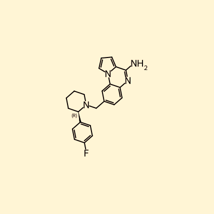 Nc1nc2ccc(CN3CCCC[C@@H]3c3ccc(F)cc3)cc2n2cccc12